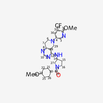 COc1ncc(N2CCc3ncnc(NC4CCN(C(=O)[C@H]5CC[C@H](OC)CC5)C4)c3C2)cc1C(F)(F)F